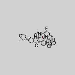 CC(=O)N[C@@H](Cc1cc(F)cc(F)c1)c1nc2cc(N3C[C@@H](C)O[C@@H](C)C3)ccc2c(=O)n1-c1ccc(Cl)c2c(N[SH](=O)=O)n[nH]c12